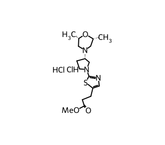 COC(=O)CCc1cnc(N2CC[C@H](N3C[C@@H](C)O[C@@H](C)C3)C2)s1.Cl.Cl